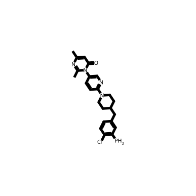 Cc1cc(=O)n(-c2ccc(N3CCC(Cc4ccc(Cl)c(P)c4)CC3)nc2)c(C)n1